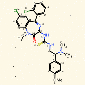 COc1ccc(C(CNC(=S)NC2N=C(c3ccccc3Cl)c3cc(Cl)ccc3N(C)C2=O)N(C)C)cc1